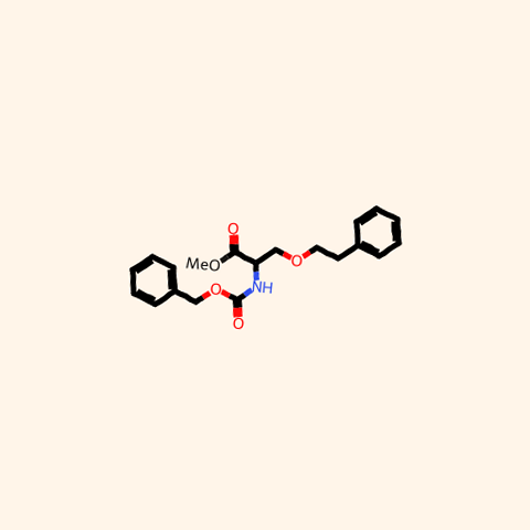 COC(=O)C(COCCc1ccccc1)NC(=O)OCc1ccccc1